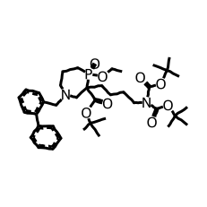 CCOP1(=O)CCCN(Cc2ccccc2-c2ccccc2)CC1(CCCCN(C(=O)OC(C)(C)C)C(=O)OC(C)(C)C)C(=O)OC(C)(C)C